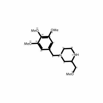 COCC1CN(Cc2cc(OC)c(OC)c(OC)c2)CCN1